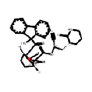 N#C[C@@H](C[C@H]1CCCNC1=O)NC(=O)[C@@H]1[C@@H]2CC[C@@H](CC2(F)F)N1C(=O)C1(O)c2ccccc2-c2ccccc21